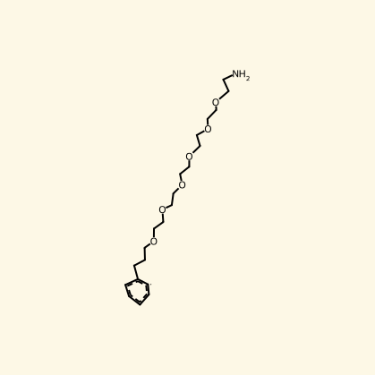 NCCOCCOCCOCCOCCOCCOCCCc1[c]cccc1